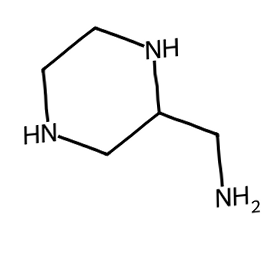 NCC1CNCCN1